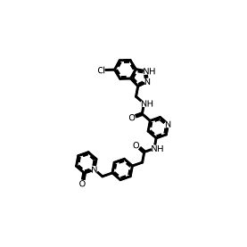 O=C(Cc1ccc(Cn2ccccc2=O)cc1)Nc1cncc(C(=O)NCc2n[nH]c3ccc(Cl)cc23)c1